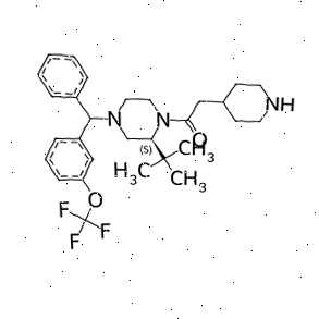 CC(C)(C)[C@H]1CN(C(c2ccccc2)c2cccc(OC(F)(F)F)c2)CCN1C(=O)CC1CCNCC1